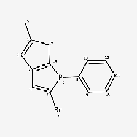 CC1=Cc2cc(Br)p(-c3ccccc3)c2C1